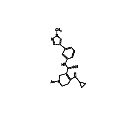 CC(=O)N1CCC(NC2CC2)=C(C(=N)Nc2cccc(-c3cnn(C)c3)c2)C1